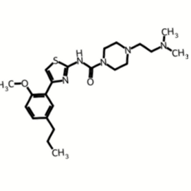 CCCc1ccc(OC)c(-c2csc(NC(=O)N3CCN(CCN(C)C)CC3)n2)c1